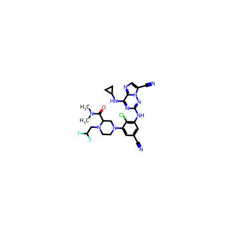 CN(C)C(=O)C1CN(c2cc(C#N)cc(Nc3nc(NC4CC4)c4ncc(C#N)n4n3)c2Cl)CCN1CC(F)F